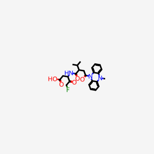 CC(C)C(CC(=O)N1c2ccccc2N(C)c2ccccc21)C(=O)NC(CC(=O)O)C(=O)CF